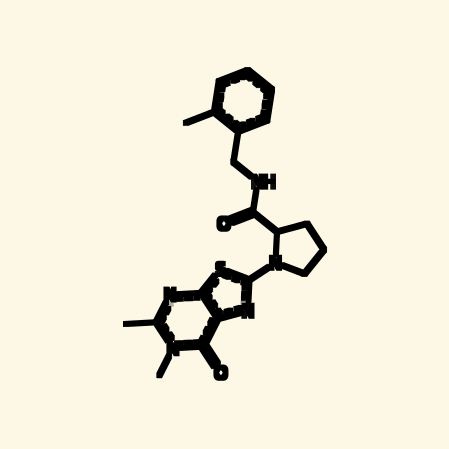 Cc1ccccc1CNC(=O)C1CCCN1c1nc2c(=O)n(C)c(C)nc2s1